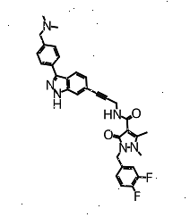 Cc1c(C(=O)NCC#Cc2ccc3c(-c4ccc(CN(C)C)cc4)n[nH]c3c2)c(=O)n(Cc2ccc(F)c(F)c2)n1C